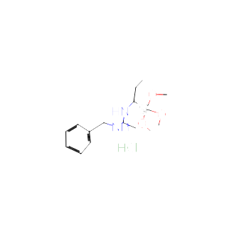 CCC(NC(C)NCc1ccccc1)[Si](OC)(OC)OC.Cl